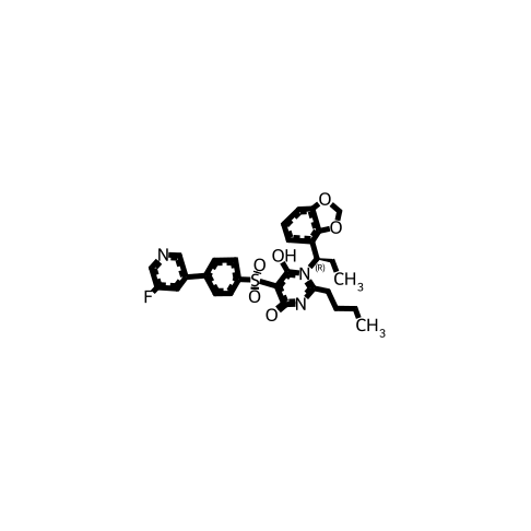 CCCCc1nc(=O)c(S(=O)(=O)c2ccc(-c3cncc(F)c3)cc2)c(O)n1[C@H](CC)c1cccc2c1OCO2